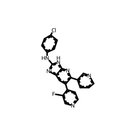 Fc1cnccc1-c1cc2nc(Nc3ccc(Cl)cc3)[nH]c2nc1-c1cccnc1